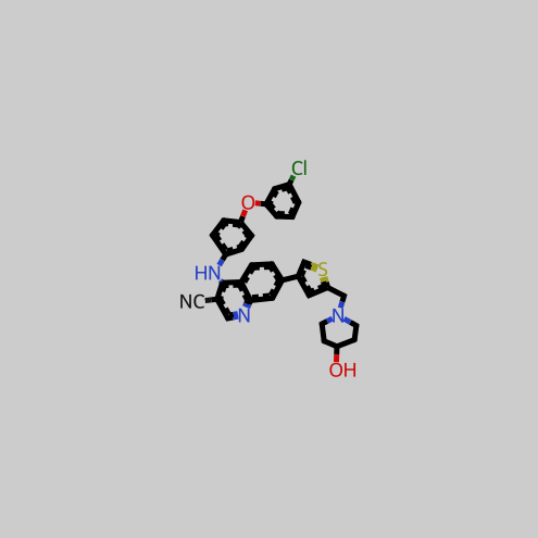 N#Cc1cnc2cc(-c3csc(CN4CCC(O)CC4)c3)ccc2c1Nc1ccc(Oc2cccc(Cl)c2)cc1